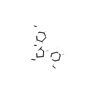 OC[C@H]1O[C@@](CO)(O[C@@H]2[C@@H](O)[C@H](O)[C@@H](CO)O[C@@H]2O)[C@@H](O[C@H]2O[C@H](CO)[C@@H](O)[C@H](O)[C@H]2O)[C@@H]1O